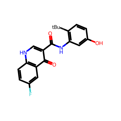 CC(C)(C)c1ccc(O)cc1NC(=O)c1c[nH]c2ccc(F)cc2c1=O